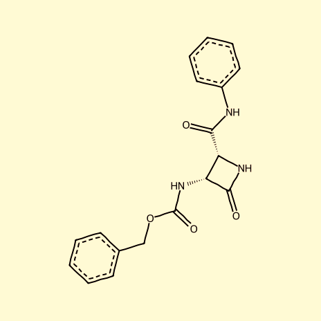 O=C(N[C@H]1C(=O)N[C@H]1C(=O)Nc1ccccc1)OCc1ccccc1